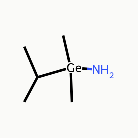 C[CH](C)[Ge]([CH3])([CH3])[NH2]